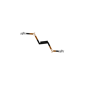 CCCSC=CSCCC